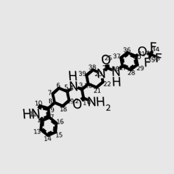 NC(=O)C(NC1CCC(c2c[nH]c3ccccc23)CC1)C1CCN(C(=O)Nc2ccc(OC(F)(F)F)cc2)CC1